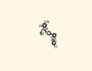 C[C@]1(c2ccc(Cl)cn2)Oc2cccc(C3CCN(Cc4nc5cc(C#N)cc(F)c5n4C[C@@H]4CCO4)CC3)c2O1